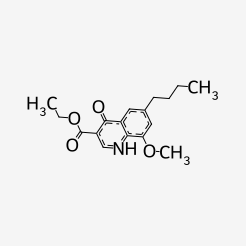 CCCCc1cc(OC)c2[nH]cc(C(=O)OCC)c(=O)c2c1